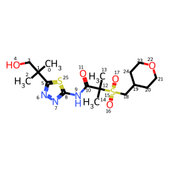 CC(C)(CO)c1nnc(NC(=O)C(C)(C)S(=O)(=O)CC2CCOCC2)s1